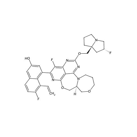 C=Cc1c(F)ccc2cc(O)cc(-c3nc4c5c(nc(OC[C@@]67CCCN6C[C@H](F)C7)nc5c3F)N3CCCOC[C@H]3CO4)c12